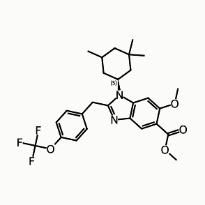 COC(=O)c1cc2nc(Cc3ccc(OC(F)(F)F)cc3)n([C@H]3CC(C)CC(C)(C)C3)c2cc1OC